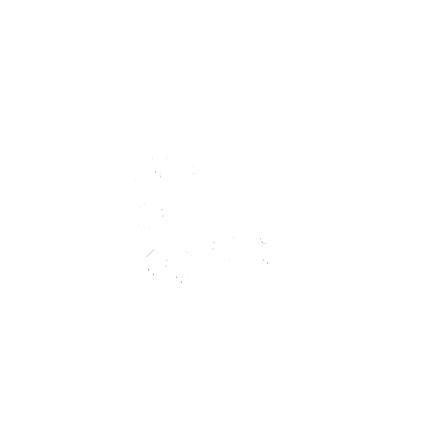 C[C@H](O)CN(C)C(=O)c1ccc(-c2c[nH]c3ncc(-c4cc5c6c(c4)CN(C)CC6(C)CCC5)cc23)cc1